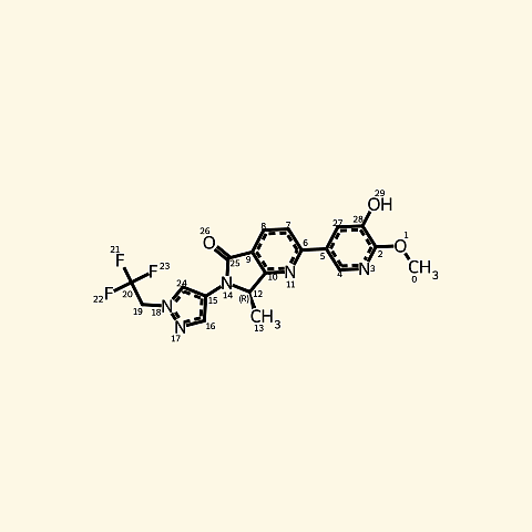 COc1ncc(-c2ccc3c(n2)[C@@H](C)N(c2cnn(CC(F)(F)F)c2)C3=O)cc1O